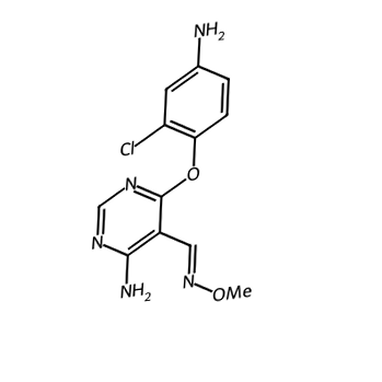 CON=Cc1c(N)ncnc1Oc1ccc(N)cc1Cl